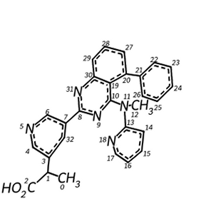 CC(C(=O)O)c1cncc(-c2nc(N(C)c3ccccn3)c3c(-c4ccccc4)cccc3n2)c1